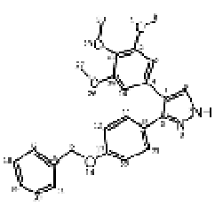 COc1cc(-c2c[nH]nc2-c2ccc(OCc3ccccc3)cc2)cc(OC)c1OC